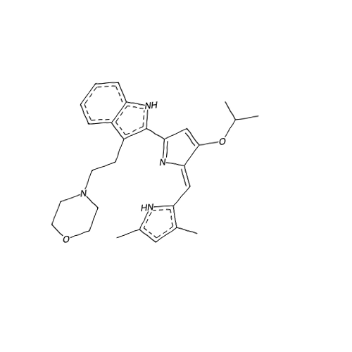 Cc1cc(C)c(C=C2N=C(c3[nH]c4ccccc4c3CCN3CCOCC3)C=C2OC(C)C)[nH]1